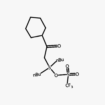 CCCCS(CCCC)(CC(=O)C1CCCCC1)OS(=O)(=O)C(F)(F)F